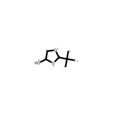 CC(C)(I)C1OCC(O)O1